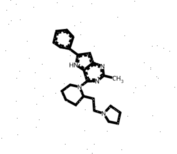 Cc1nc(N2CCCCC2CCN2CCCC2)c2[nH]c(-c3ccccc3)cc2n1